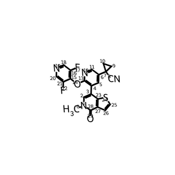 Cn1cc(-c2cc(C3(C#N)CC3)cnc2Oc2c(F)cncc2F)c2sccc2c1=O